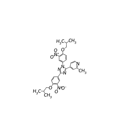 Cc1cc(-c2nc(-c3ccc(OCC(C)C)c([N+](=O)[O-])c3)nn2-c2ccc(OCC(C)C)c([N+](=O)[O-])c2)ccn1